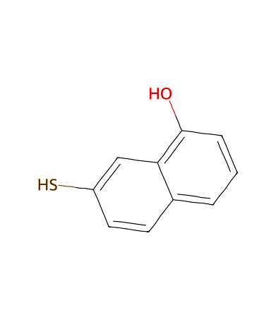 Oc1cccc2ccc(S)cc12